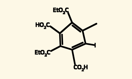 CCOC(=O)c1c(C)c(I)c(C(=O)O)c(C(=O)OCC)c1C(=O)O